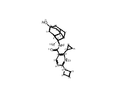 O=C(N[C@H]1C2CC3CC1C[C@@](O)(C3)C2)c1cnc(N2CCC2)nc1C1CC1